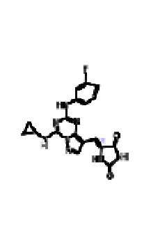 O=C1NC(=O)/C(=C/c2cnn3c(NC4CC4)nc(Nc4cccc(F)c4)nc23)N1